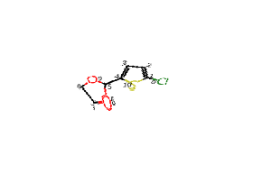 Clc1ccc(C2OCCO2)s1